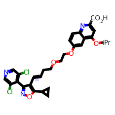 CC(C)Oc1cc(C(=O)O)nc2ccc(OCCOCC/C=C/c3c(-c4c(Cl)cncc4Cl)noc3C3CC3)cc12